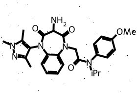 COc1ccc(N(C(=O)CN2C(=O)C(N)C(=O)N(c3c(C)nn(C)c3C)c3ccccc32)C(C)C)cc1